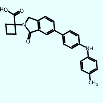 Cc1ccc(Nc2ccc(-c3ccc4c(c3)C(=O)N(C3(C(=O)O)CCC3)C4)cc2)cc1